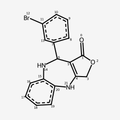 O=C1OCC2=C1C(c1cccc(Br)c1)Nc1ccccc1N2